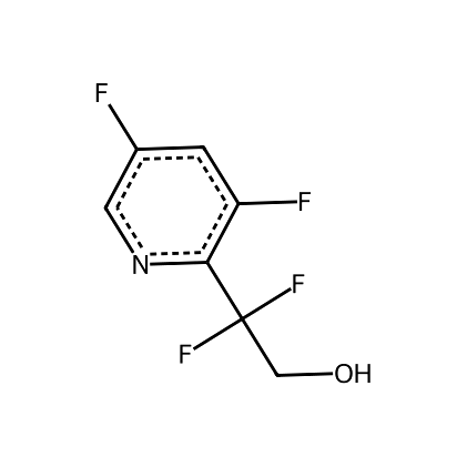 OCC(F)(F)c1ncc(F)cc1F